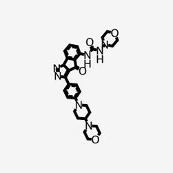 O=C(Nc1cccc2c1C(=O)C1=C(c3ccc(N4CCC(N5CCOCC5)CC4)cc3)N=NC12)NN1CCOCC1